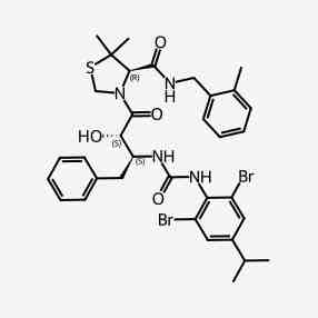 Cc1ccccc1CNC(=O)[C@H]1N(C(=O)[C@@H](O)[C@H](Cc2ccccc2)NC(=O)Nc2c(Br)cc(C(C)C)cc2Br)CSC1(C)C